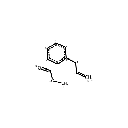 C=CCc1ccccc1.COC=O